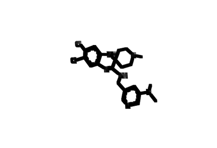 CN1CCC2(CC1)Nc1cc(Cl)c(Cl)cc1N=C2NCc1cncc(N(C)C)c1